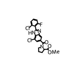 COC(=O)C1CCCN1C(=O)c1cc(Cl)c2[nH]c(-c3c(F)cccc3Cl)nc2c1